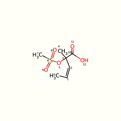 C/C=C\C(C)(OS(C)(=O)=O)C(=O)O